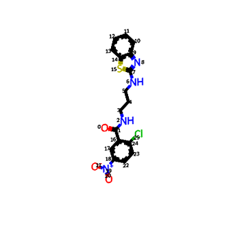 O=C(NCCCNc1nc2ccccc2s1)c1cc([N+](=O)[O-])ccc1Cl